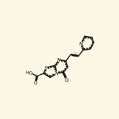 O=C(O)c1cn2c(=O)cc(/C=C/c3ccccn3)nc2s1